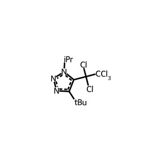 CC(C)n1nnc(C(C)(C)C)c1C(Cl)(Cl)C(Cl)(Cl)Cl